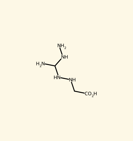 NNC(N)NNCC(=O)O